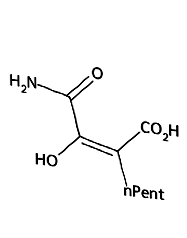 CCCCCC(C(=O)O)=C(O)C(N)=O